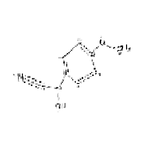 COc1ccc([C@H](O)C#N)cc1